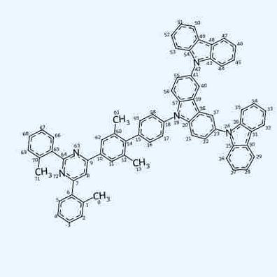 Cc1ccccc1-c1cc(-c2cc(C)c(-c3ccc(-n4c5ccc(-n6c7ccccc7c7ccccc76)cc5c5cc(-n6c7ccccc7c7ccccc76)ccc54)cc3)c(C)c2)nc(-c2ccccc2C)n1